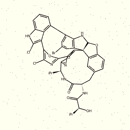 CC(C)[C@H](O)C(=O)N[C@H]1Cc2ccc3c(c2)[C@]24c5cc(Br)cc(c5NC2O3)-c2cccc3[nH]c(Cl)c(c23)-c2oc(nc2Cl)-c2nc(oc24)[C@H](C(C)C)NC1=O